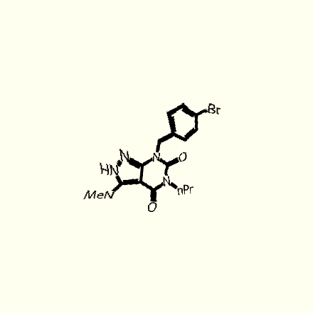 CCCn1c(=O)c2c(NC)[nH]nc2n(Cc2ccc(Br)cc2)c1=O